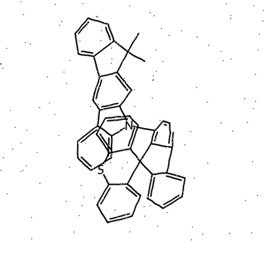 CC1(C)c2ccccc2-c2cc3c4ccccc4n(-c4cccc5c4C4(c6ccccc6Sc6ccccc64)c4ccccc4-5)c3cc21